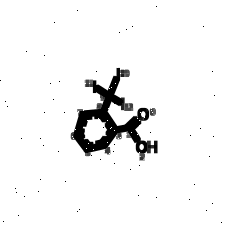 O=C(O)c1ccccc1C(I)(I)I